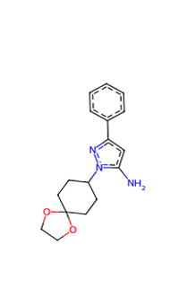 Nc1cc(-c2ccccc2)nn1C1CCC2(CC1)OCCO2